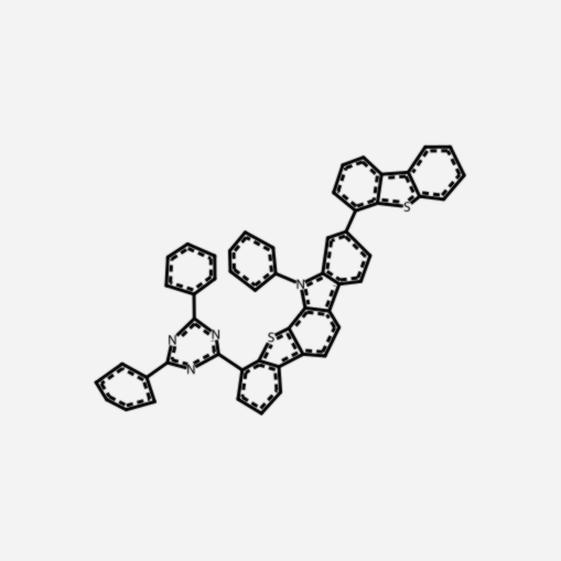 c1ccc(-c2nc(-c3ccccc3)nc(-c3cccc4c3sc3c4ccc4c5ccc(-c6cccc7c6sc6ccccc67)cc5n(-c5ccccc5)c43)n2)cc1